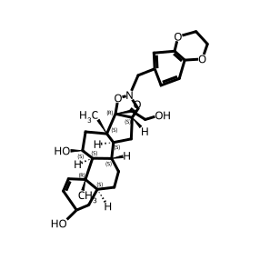 C[C@]12C=CC(O)C[C@@H]1CC[C@@H]1[C@@H]2[C@@H](O)C[C@@]2(C)[C@H]1C[C@H]1CN(Cc3ccc4c(c3)OCCO4)O[C@]12C(=O)CO